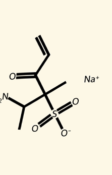 C=CC(=O)C(C)(C(C)N)S(=O)(=O)[O-].[Na+]